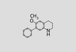 COc1cc2c(cc1-c1ccccc1)NCCC2